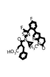 CN1C(=O)CCc2cc(-c3ccc(F)cc3-c3nc(N(C(=O)C(CC(=O)O)Cc4ccccc4)C4CC4)sc3F)cnc21